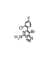 Nc1nc(-c2ccc(F)cc2Cl)c(Br)c2nncn12